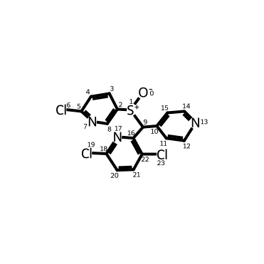 [O-][S+](c1ccc(Cl)nc1)C(c1ccncc1)c1nc(Cl)ccc1Cl